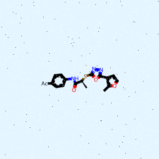 CC(=O)c1ccc(NC(=O)[C@H](C)Sc2nnc(-c3ccoc3C)o2)cc1